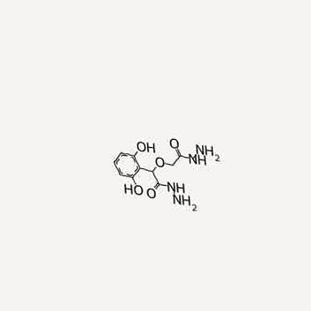 NNC(=O)COC(C(=O)NN)c1c(O)cccc1O